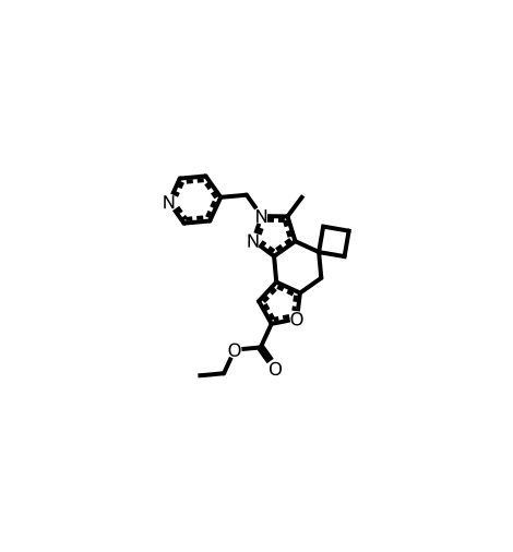 CCOC(=O)c1cc2c(o1)CC1(CCC1)c1c-2nn(Cc2ccncc2)c1C